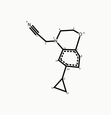 N#CCN1CCOc2ccc(C3CC3)cc21